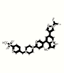 CS(=O)(=O)c1ccc(CN2CCN(c3ccc(-c4cc(-c5cnn(C(F)F)c5)cn5ncc(C#N)c45)cn3)CC2)cn1